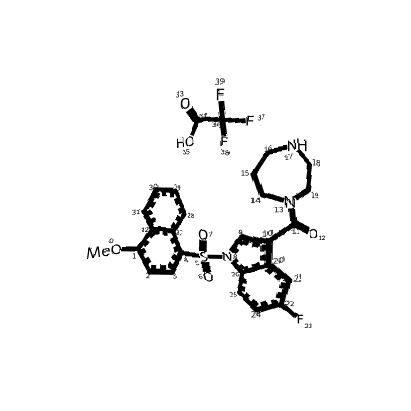 COc1ccc(S(=O)(=O)n2cc(C(=O)N3CCCNCC3)c3cc(F)ccc32)c2ccccc12.O=C(O)C(F)(F)F